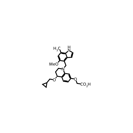 COc1cc(C)c2[nH]ccc2c1CN1CC[C@H](OCC2CC2)c2ccc(OCC(=O)O)cc21